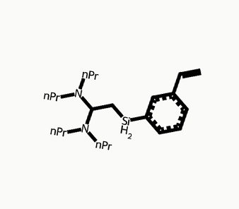 C=Cc1cccc([SiH2]CC(N(CCC)CCC)N(CCC)CCC)c1